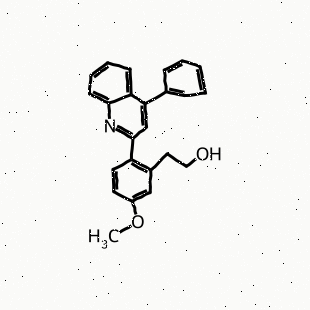 COc1ccc(-c2cc(-c3ccccc3)c3ccccc3n2)c(CCO)c1